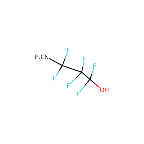 OC(F)(F)C(F)(F)C(F)(F)NC(F)(F)F